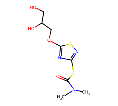 CN(C)C(=O)Sc1nsc(OCC(O)CO)n1